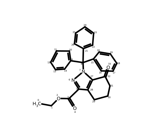 CCOC(=O)c1nn(C(c2ccccc2)(c2ccccc2)c2ccccc2)c2c1CCCC2=O